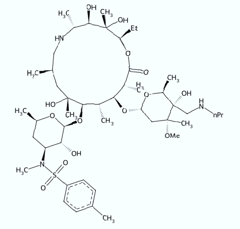 CCCNC[C@]1(O)[C@H](C)O[C@@H](O[C@H]2[C@H](C)[C@@H](O[C@@H]3O[C@H](C)C[C@H](N(C)S(=O)(=O)c4ccc(C)cc4)[C@H]3O)[C@](C)(O)C[C@@H](C)CN[C@H](C)[C@@H](O)[C@](C)(O)[C@@H](CC)OC(=O)[C@@H]2C)C[C@@]1(C)OC